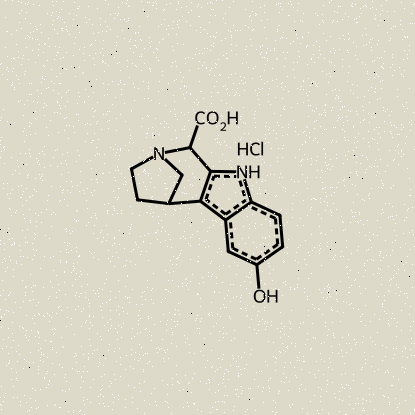 Cl.O=C(O)C1c2[nH]c3ccc(O)cc3c2C2CCN1C2